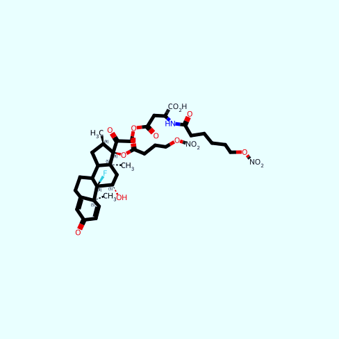 C[C@@H]1CC2C3CCC4=CC(=O)C=C[C@]4(C)[C@@]3(F)[C@@H](O)C[C@]2(C)[C@@]1(OC(=O)CCCO[N+](=O)[O-])C(=O)COC(=O)CC(NC(=O)CCCCCO[N+](=O)[O-])C(=O)O